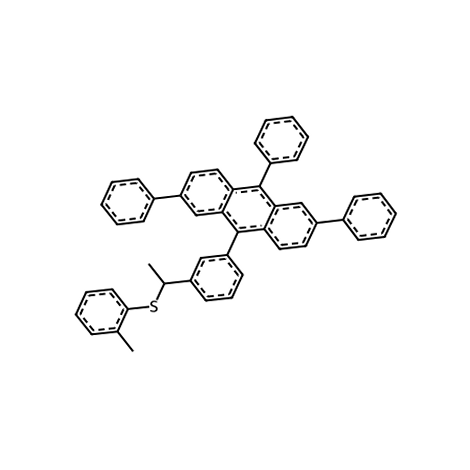 Cc1ccccc1SC(C)c1cccc(-c2c3ccc(-c4ccccc4)cc3c(-c3ccccc3)c3ccc(-c4ccccc4)cc23)c1